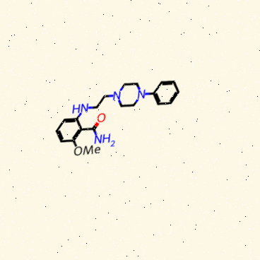 COc1cccc(NCCN2CCN(c3ccccc3)CC2)c1C(N)=O